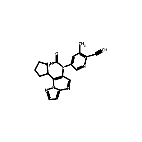 C#Cc1ncc(N(C(N)=O)c2cnc3ccnn3c2C2CCCC2)cc1C